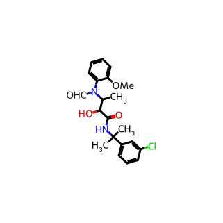 COc1ccccc1N(C=O)C(C)C(O)C(=O)NC(C)(C)c1cccc(Cl)c1